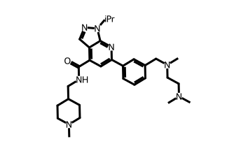 CC(C)n1ncc2c(C(=O)NCC3CCN(C)CC3)cc(-c3cccc(CN(C)CCN(C)C)c3)nc21